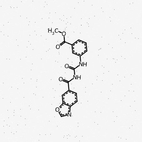 COC(=O)c1cccc(NC(=O)NC(=O)c2ccc3ncoc3c2)c1